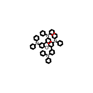 c1ccc(N(c2ccccc2)c2cccc(-c3cc(N(c4ccccc4)c4ccccc4)ccc3Oc3ccc(N(c4ccccc4)c4ccccc4)cc3-c3cccc(N(c4ccccc4)c4ccccc4)c3)c2)cc1